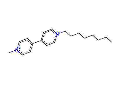 CCCCCCCC[n+]1ccc(-c2cc[n+](C)cc2)cc1